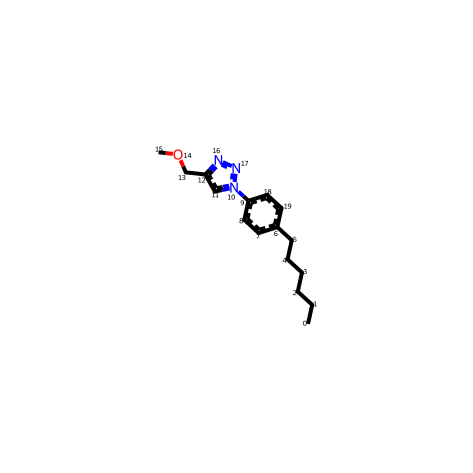 CCCCCCc1ccc(-n2cc(COC)nn2)cc1